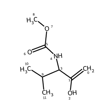 C=C(O)C(NC(=O)OC)C(C)C